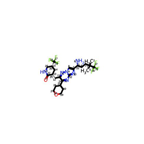 CC(C)(CC[C@H](N)c1cn2nc(C[C@H]3C[C@@H](C(F)(F)F)CNC3=O)c(C3CCOCC3)nc2n1)C(F)(F)F